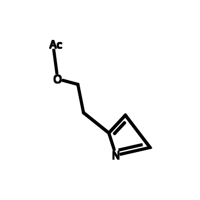 CC(=O)OCCC1=CC=N1